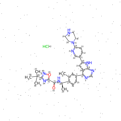 Cc1cc(-c2ncnc3[nH]c(-c4ccc(N5CCNCC5)nc4)cc23)ccc1[C@@H](C)NC(=O)c1nc(C(C)(C)C)no1.Cl